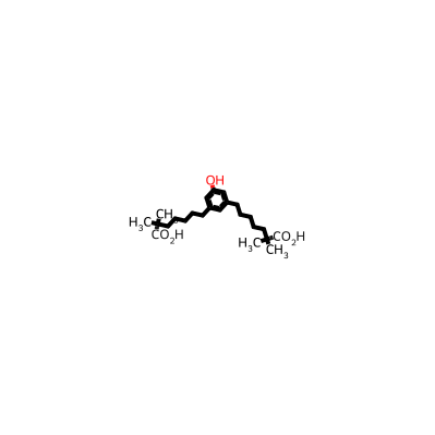 CC(C)(CCCCCc1cc(O)cc(CCCCCC(C)(C)C(=O)O)c1)C(=O)O